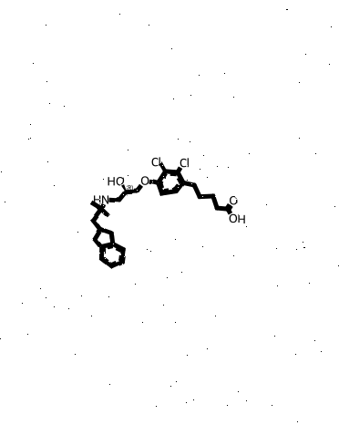 CC(C)(CC1Cc2ccccc2C1)NC[C@@H](O)COc1ccc(CCCCC(=O)O)c(Cl)c1Cl